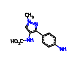 Cn1cc(NC(=O)O)c(-c2ccc(N)cc2)n1